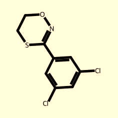 Clc1cc(Cl)cc(C2=NOCCS2)c1